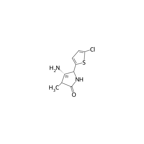 CC1C(=O)NC(c2ccc(Cl)s2)[C@H]1N